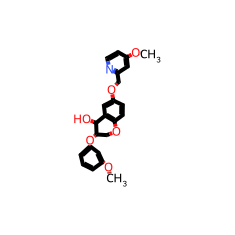 COc1cccc(OC2COc3ccc(OCc4cc(OC)ccn4)cc3C2O)c1